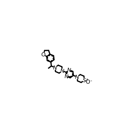 CC(c1ccc2c(c1)OCC2)N1CCN(c2ncc(N3CC[S+]([O-])CC3)cn2)CC1